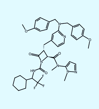 COc1ccc(CN(Cc2ccc(OC)cc2)c2cc(C[C@H]3C(=O)N(C(=O)NC(C4CCCCC4)C(F)(F)F)[C@@H]3C(=O)N(C)c3ccnn3C)ccn2)cc1